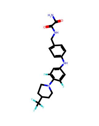 NC(=O)C(=O)NCc1ccc(Nc2cc(F)c(N3CCC(C(F)(F)F)CC3)c(F)c2)cc1